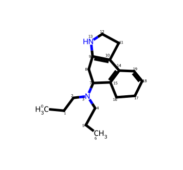 CCCN(CCC)C1CC2=C(CCN2)C2=C1CCC=C2